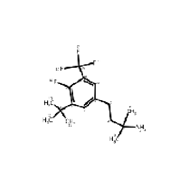 CC(C)(N)CCc1cc(C(C)(C)C)c(F)c(C(F)(F)F)c1